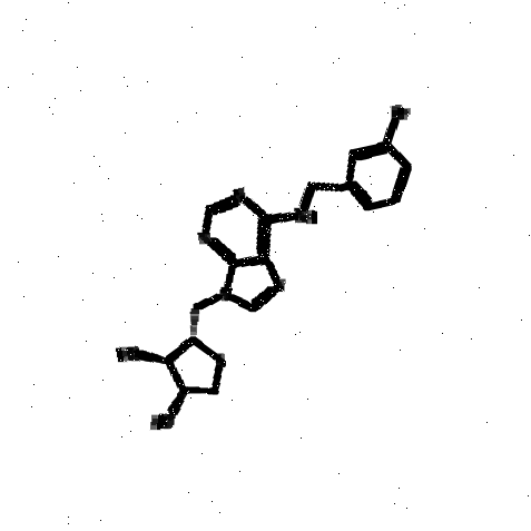 O[C@@H]1[C@H](O)CS[C@H]1Cn1cnc2c(NCc3cccc(Br)c3)ncnc21